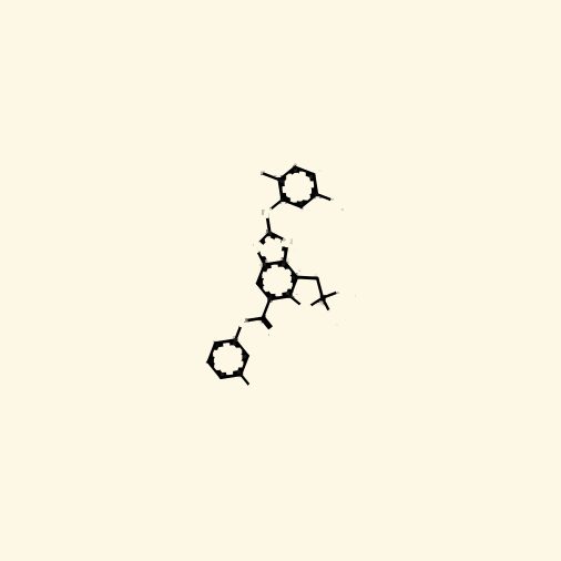 Cc1cccc(NC(=O)c2cc3nc(Nc4cc(C)ccc4Cl)[nH]c3c3c2OC(C)(C)C3)c1